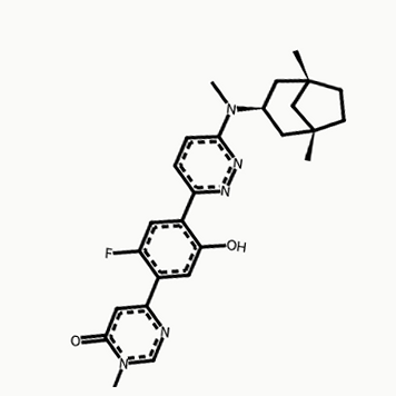 CN(c1ccc(-c2cc(F)c(-c3cc(=O)n(C)cn3)cc2O)nn1)[C@H]1C[C@]2(C)CC[C@](C)(C1)C2